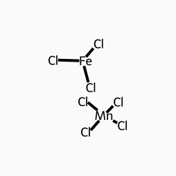 [Cl][Fe]([Cl])[Cl].[Cl][Mn]([Cl])([Cl])[Cl]